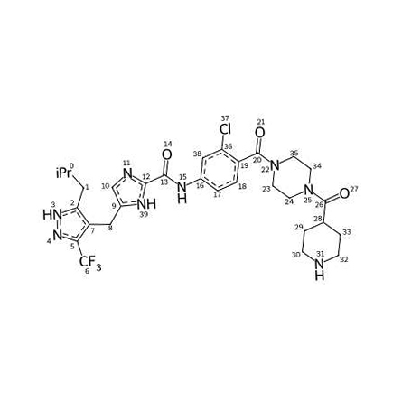 CC(C)Cc1[nH]nc(C(F)(F)F)c1Cc1cnc(C(=O)Nc2ccc(C(=O)N3CCN(C(=O)C4CCNCC4)CC3)c(Cl)c2)[nH]1